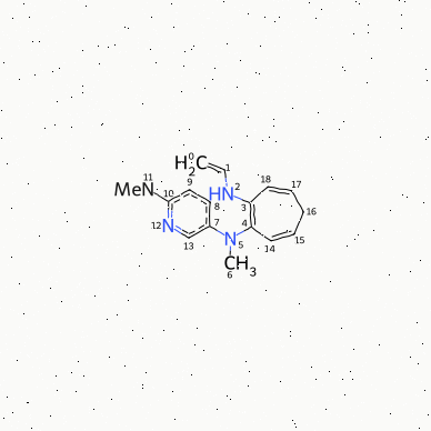 C=CNC1=C(N(C)c2ccc(NC)nc2)C=CCC=C1